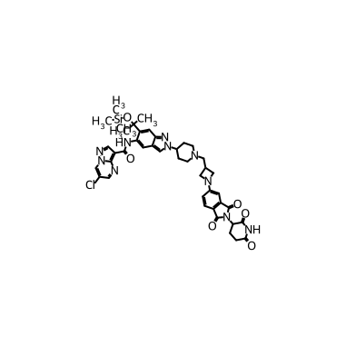 CC(C)(O[Si](C)(C)C)c1cc2nn(C3CCN(CC4CN(c5ccc6c(c5)C(=O)N(C5CCC(=O)NC5=O)C6=O)C4)CC3)cc2cc1NC(=O)c1cnn2cc(Cl)cnc12